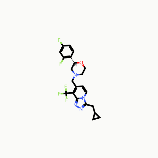 Fc1ccc([C@H]2CN(Cc3ccn4c(CC5CC5)nnc4c3C(F)(F)F)CCO2)c(F)c1